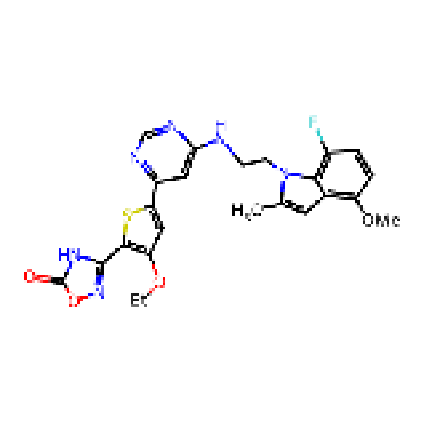 CCOc1cc(-c2cc(NCCn3c(C)cc4c(OC)ccc(F)c43)ncn2)sc1-c1noc(=O)[nH]1